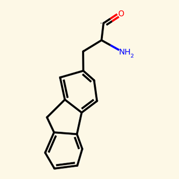 NC([C]=O)Cc1ccc2c(c1)Cc1ccccc1-2